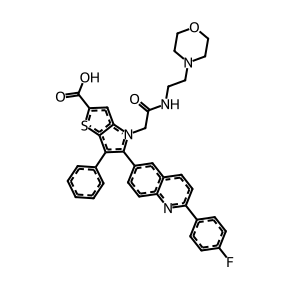 O=C(Cn1c(-c2ccc3nc(-c4ccc(F)cc4)ccc3c2)c(-c2ccccc2)c2sc(C(=O)O)cc21)NCCN1CCOCC1